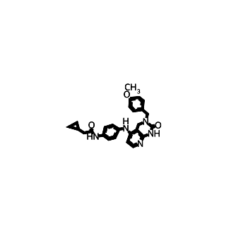 COc1ccc(CN2Cc3c(Nc4ccc(NC(=O)CC5CC5)cc4)ccnc3NC2=O)cc1